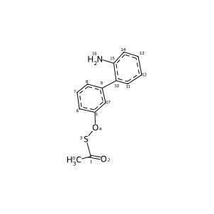 CC(=O)SOc1cccc(-c2ccccc2N)c1